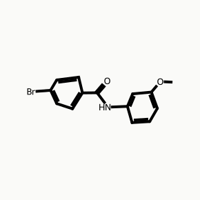 COc1cccc(NC(=O)c2ccc(Br)cc2)c1